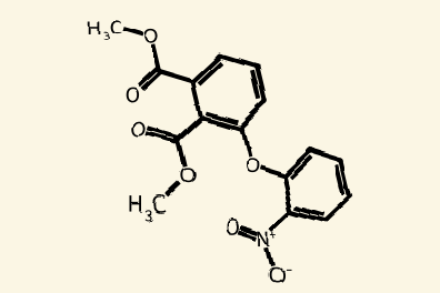 COC(=O)c1cccc(Oc2ccccc2[N+](=O)[O-])c1C(=O)OC